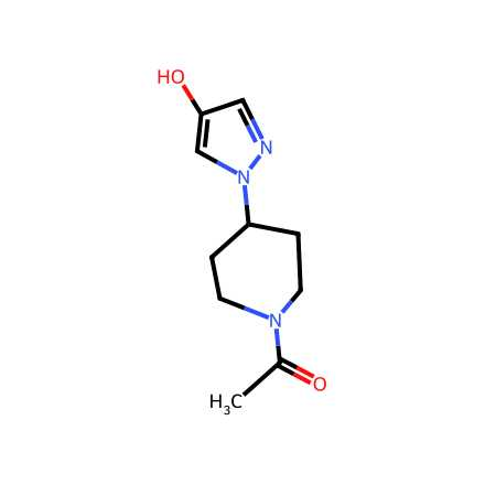 CC(=O)N1CCC(n2cc(O)cn2)CC1